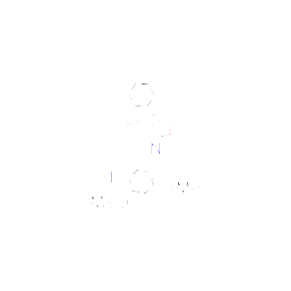 CCC1(Sc2ccccc2)C(=O)N(Cc2ccc(OC)cc2OC)C1CCCI